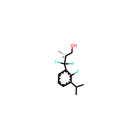 CC(C)c1cccc(C(F)(F)[C@H](C)CO)c1F